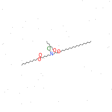 CCCCCCCCCCCCCCCCCCOCC(CN(CCCl)CCCCCC(=O)OCCCCCCCCCC)OCCCCCC